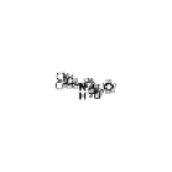 O=c1ccc2c(n1CCc1ccccc1)CCCC2NCCc1ccc(Cl)c(Cl)c1